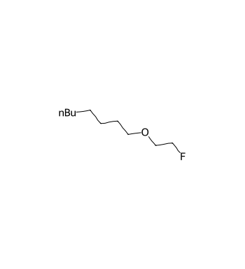 CCCCCCCCOCCF